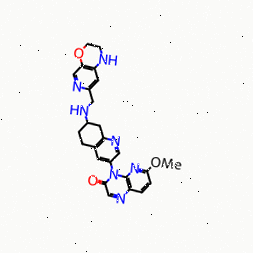 COc1ccc2ncc(=O)n(-c3cnc4c(c3)CCC(NCc3cc5c(cn3)OCCN5)C4)c2n1